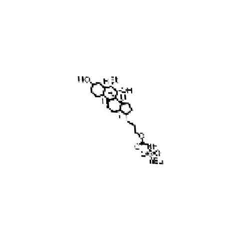 CCCCS(=O)(=O)NC(=O)OCCC[C@H]1CC[C@H]2[C@@H]3[C@H](O)[C@H](CC)[C@@H]4C[C@H](O)CC[C@]4(C)[C@H]3CC[C@]12C